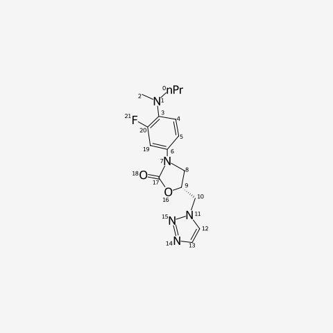 CCCN(C)c1ccc(N2C[C@H](Cn3ccnn3)OC2=O)cc1F